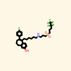 O=S(=O)(CCCNCCCCCCC1=C(c2ccc(F)cc2)CCCc2cc(O)ccc21)CCCC(F)(F)C(F)(F)F